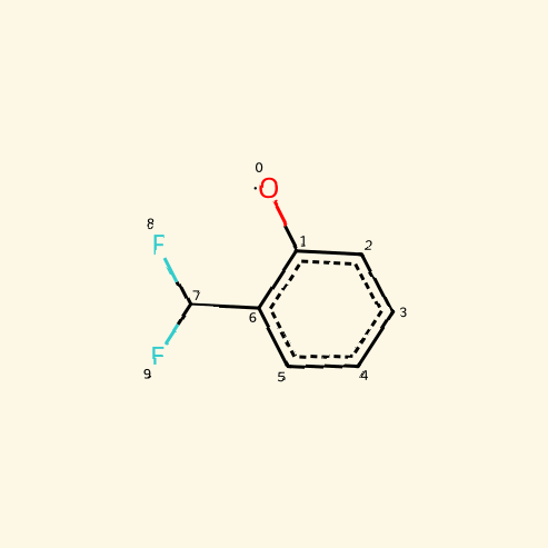 [O]c1ccccc1C(F)F